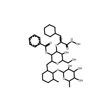 CC1CCCC(CC2OC(CO)C(O)C(O/C(=C\C3CCCCC3)C(=O)NO)C2OC(=O)c2ccccc2)C1OC1OC(C)C(O)C(O)C1O